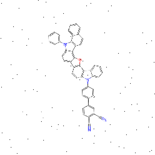 N#Cc1ccc(-c2ccc(-n3c4ccccc4c4c5oc6c(ccc7c6c6ccc8ccccc8c6n7-c6ccccc6)c5ccc43)cc2)cc1C#N